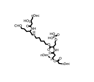 CCCCCCCCCCCC(=O)O[C@H](CCCCCCCCCCC)CC(=O)NC(CCOP(=O)(O)O)C(=O)OCCCCCNCC(CCCC=O)NC(=O)C[C@H](O)CCCCCCCCCCC